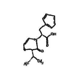 CC(C)C1SC=CN(C(Cc2ccccc2)C(=O)O)C1=O